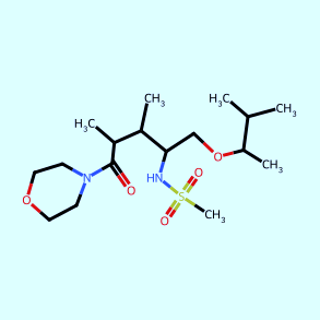 CC(C)C(C)OCC(NS(C)(=O)=O)C(C)C(C)C(=O)N1CCOCC1